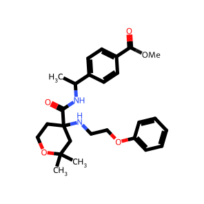 COC(=O)c1ccc(C(C)NC(=O)C2(NCCOc3ccccc3)CCOC(C)(C)C2)cc1